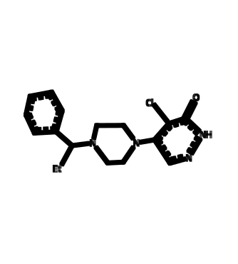 CCC(c1ccccc1)N1CCN(c2cn[nH]c(=O)c2Cl)CC1